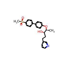 C[C@H](Oc1ccc(-c2ccc(S(C)(=O)=O)cc2)cc1)[C@H](O)CCc1cccnc1